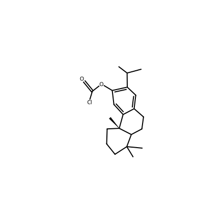 CC(C)c1cc2c(cc1OC(=O)Cl)[C@@]1(C)CCCC(C)(C)C1CC2